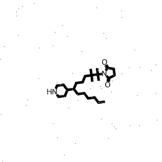 CCCCCCC(CCCC(C)(C)C(C)(C)N1C(=O)CCC1=O)C1CCNCC1